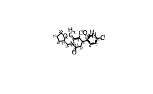 CC1=C(C(=O)O)C(c2ccc(Cl)nc2)CC(=O)N1C[C@H]1CCCO1